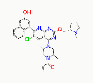 C=CC(=O)N1C[C@H](C)N(c2nc(OC[C@@H]3CCCN3C)nc3nc(-c4cc(O)cc5ccccc45)c(Cl)cc23)C[C@H]1C